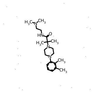 Cc1cccc(N2CCN(C(C)(C)C(=O)NCCN(C)C)CC2)c1C